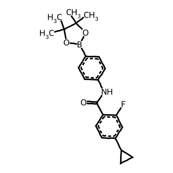 CC1(C)OB(c2ccc(NC(=O)c3ccc(C4CC4)cc3F)cc2)OC1(C)C